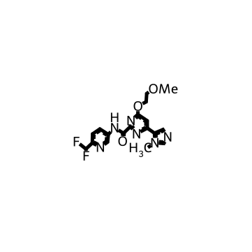 COCCOc1cc(-c2cncn2C)nc(C(=O)Nc2ccc(C(F)F)nc2)n1